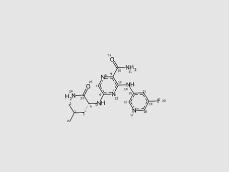 CC(C)C[C@@H](Nc1cnc(C(N)=O)c(Nc2cncc(F)c2)n1)C(N)=O